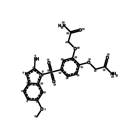 COc1ccc2nc(S)n(S(=O)(=O)c3ccc(OCC(N)=O)c(OCC(N)=O)c3)c2c1